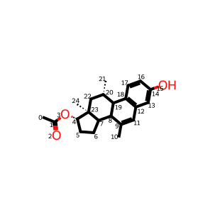 CC(=O)O[C@H]1CCC2C3C(C)=Cc4cc(O)ccc4C3[C@@H](C)C[C@@]21C